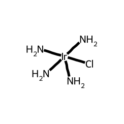 [NH2][Ir]([NH2])([NH2])([NH2])[Cl]